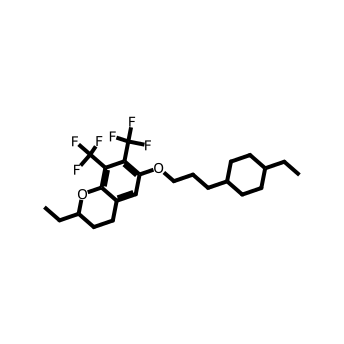 CCC1CCC(CCCOc2cc3c(c(C(F)(F)F)c2C(F)(F)F)OC(CC)CC3)CC1